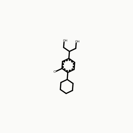 OCC(CO)c1ccc(C2CCCCC2)c(Cl)c1